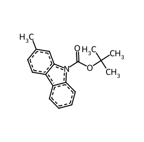 Cc1ccc2c3ccccc3n(C(=O)OC(C)(C)C)c2c1